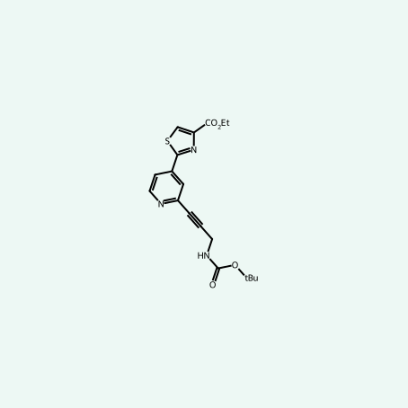 CCOC(=O)c1csc(-c2ccnc(C#CCNC(=O)OC(C)(C)C)c2)n1